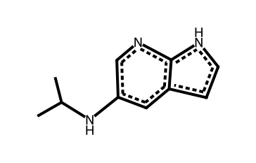 CC(C)Nc1cnc2[nH]ccc2c1